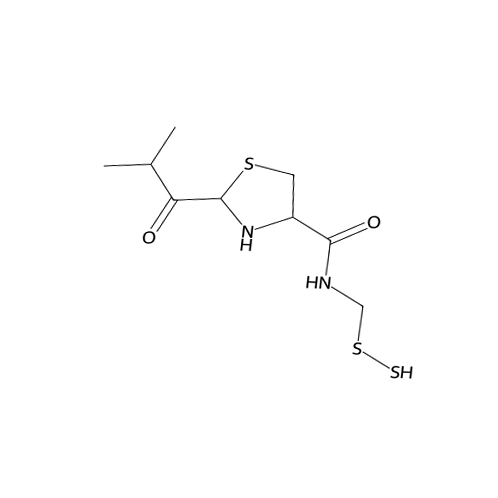 CC(C)C(=O)C1NC(C(=O)NCSS)CS1